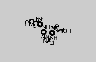 Cn1nc(C2CCC(=O)NC2=O)c2ccc(N[C@H]3CC[C@@H](N(C)c4ncc(Cl)c(Nc5ccc6c(c5)n(CCC(C)(C)O)c(=O)n6C)n4)CC3)cc21